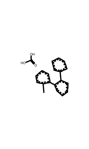 Cc1ccccc1-c1ccccc1-c1ccccc1.O=C(O)O